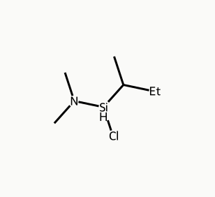 CCC(C)[SiH](Cl)N(C)C